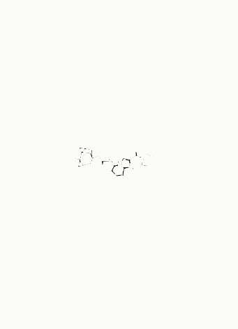 CC(C)N(CCO)C(=O)c1cn2c(NC(=O)CC34CC5C[C@@H]5C5(CC5C3)C4)cccc2n1